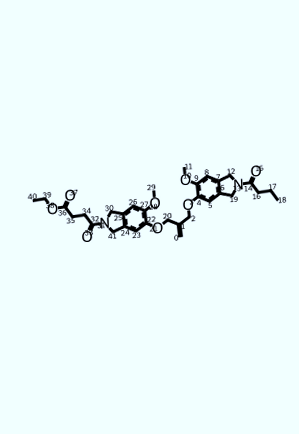 C=C(COc1cc2c(cc1OC)CN(C(=O)CCC)C2)COc1cc2c(cc1OC)CN(C(=O)CCC(=O)OCC)C2